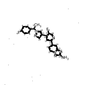 CC(c1ccc(F)cc1)n1cc(-c2cc(-c3ccn4nc(N)nc4c3)ncc2F)cn1